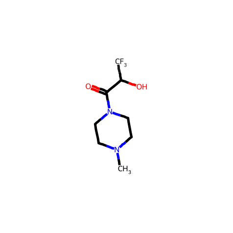 CN1CCN(C(=O)C(O)C(F)(F)F)CC1